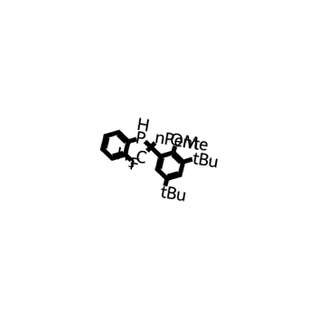 CCCCCC(C)(Pc1ccccc1F)c1cc(C(C)(C)C)cc(C(C)(C)C)c1OC